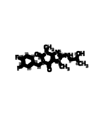 CC(O)CNc1nc2c(c(=O)n(Cc3ccc(F)c(F)c3)c(=O)n2C)n1C